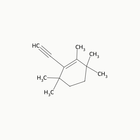 C#CC1=C(C)C(C)(C)CCC1(C)C